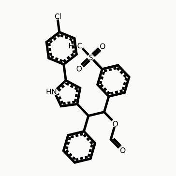 CS(=O)(=O)c1cccc(C(OC=O)C(c2ccccc2)c2c[nH]c(-c3ccc(Cl)cc3)c2)c1